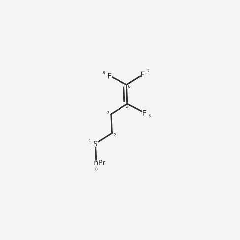 [CH2]CCSCCC(F)=C(F)F